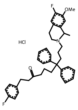 COc1cc2c(cc1F)CCN(CCCC(CCCC(=O)CCc1ccc(F)cc1)(c1ccccc1)c1ccccc1)C2C.Cl